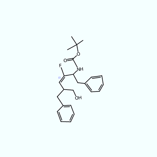 CC(C)(C)OC(=O)NC(Cc1ccccc1)/C(F)=C\C(CO)Cc1ccccc1